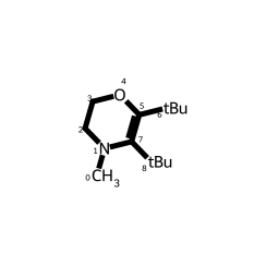 CN1CCOC(C(C)(C)C)=C1C(C)(C)C